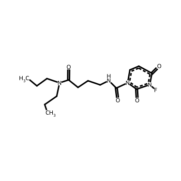 CCCN(CCC)C(=O)CCCNC(=O)n1ccc(=O)n(F)c1=O